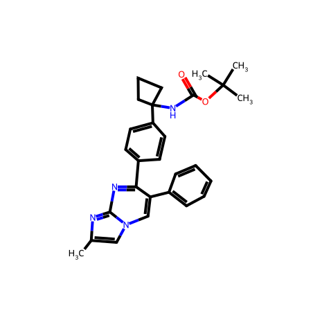 Cc1cn2cc(-c3ccccc3)c(-c3ccc(C4(NC(=O)OC(C)(C)C)CCC4)cc3)nc2n1